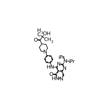 CC(C)N(c1nc(Nc2ccc(N3CCC(C(=O)C(C)(C)O)CC3)cc2)c2c(=O)[nH]ncc2n1)C(C)C